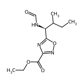 CCOC(=O)c1noc([C@@H](NC=O)C(C)CC)n1